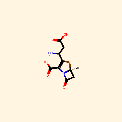 NC(CC(=O)O)C1=C(C(=O)O)N2C(=O)C[C@@H]2S1